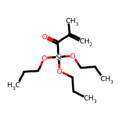 C=C(C)C(=O)[Si](OCCC)(OCCC)OCCC